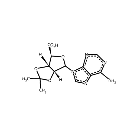 CC1(C)O[C@@H]2[C@@H](C(=O)O)OC(n3cnc4c(N)ncnc43)[C@@H]2O1